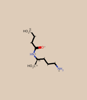 NCCC[C@H](NC(=O)CCC(=O)O)C(=O)O